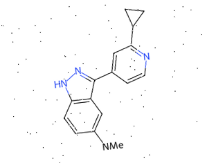 CNc1ccc2[nH]nc(-c3ccnc(C4CC4)c3)c2c1